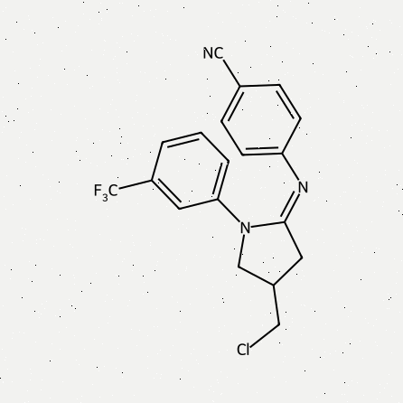 N#Cc1ccc(/N=C2/CC(CCl)CN2c2cccc(C(F)(F)F)c2)cc1